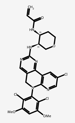 C=CC(=O)N[C@H]1CCOC[C@H]1Nc1ncc2c(n1)-c1cc(Cl)cnc1N(c1c(Cl)c(OC)cc(OC)c1Cl)C2